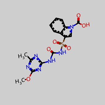 COc1nc(C)nc(NC(=O)NS(=O)(=O)c2cn(C(=O)O)c3ccccc23)n1